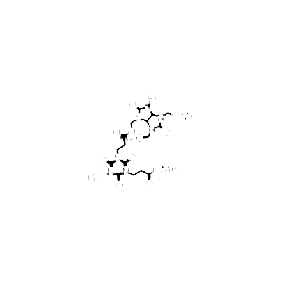 CCN1C(=O)N(COC(=O)CCn2c(=O)n(C)c(=O)n(CCC(=O)OC)c2=O)C2C1N(COC)C(=O)N2COC